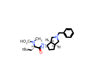 CN(C(=O)O)[C@@H](CC(C)(C)C)C(=O)N[C@H]1CC[C@@H]2CN(Cc3ccccc3)C[C@@H]21